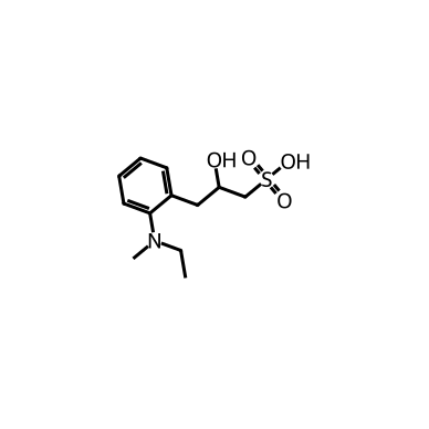 CCN(C)c1ccccc1CC(O)CS(=O)(=O)O